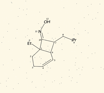 CCC12CCC=CC1C(CC(C)C)/C2=N\O